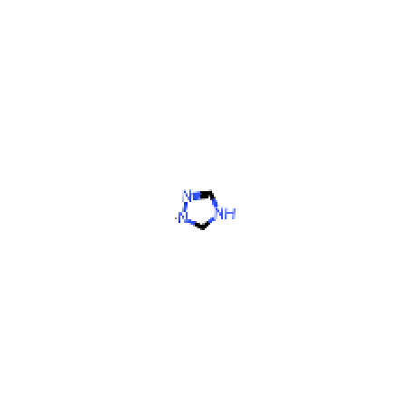 C1=N[N]CN1